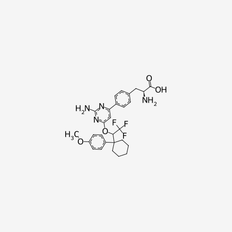 COc1ccc(C2(C(Oc3cc(-c4ccc(C[C@H](N)C(=O)O)cc4)nc(N)n3)C(F)(F)F)CCCCC2)cc1